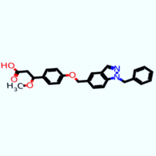 COC(CC(=O)O)c1ccc(OCc2ccc3c(cnn3Cc3ccccc3)c2)cc1